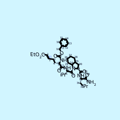 CCOC(=O)/C=C/CC[C@H](NC(=O)OCc1ccccc1)C(=O)N[C@H](C(=O)N1C2CCCCC2C[C@H]1C(=O)N[C@@H](CC(C)C)C(N)=O)C(C)C